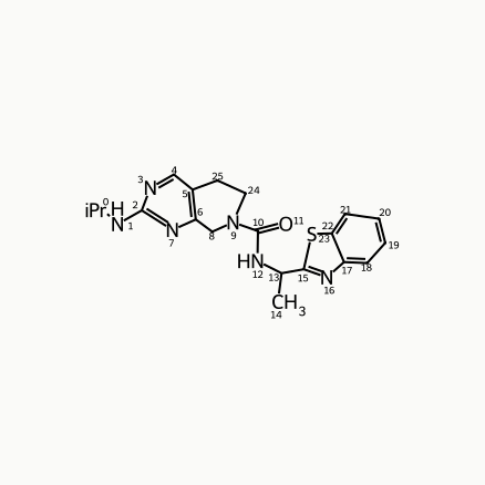 CC(C)Nc1ncc2c(n1)CN(C(=O)NC(C)c1nc3ccccc3s1)CC2